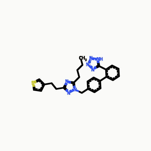 CCCCc1nc(CCc2ccsc2)nn1Cc1ccc(-c2ccccc2-c2nnn[nH]2)cc1